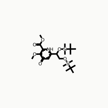 COC(=O)c1[nH]c(C(CO[Si](C)(C)C(C)(C)C)O[Si](C)(C)C(C)(C)C)cc(=O)c1OC